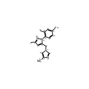 Cc1cc(Cn2cnc(C#N)c2)n(-c2ccc(F)cc2C)n1